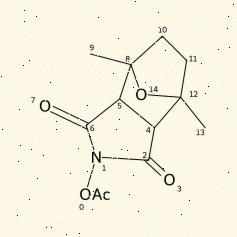 CC(=O)ON1C(=O)C2C(C1=O)C1(C)CCC2(C)O1